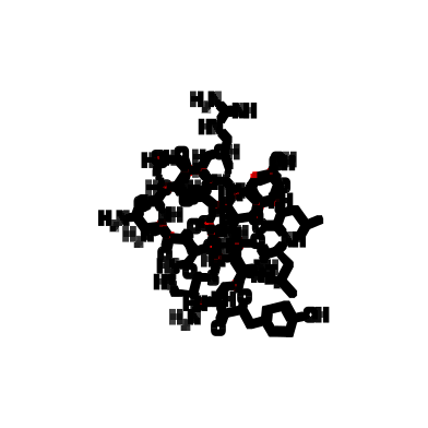 CC(C)CC(N)COC(Cc1ccc(O)cc1)C(=O)NN[C@@H](CS)C(=O)SSN[C@@H](CS)C(=O)C(=O)C(CC(N)=O)NC(=O)[C@H](CO)NC(=O)C(CO)NC(=O)[C@H](CC(=O)O)NN[C@@H](CC(=O)O)C(=O)NC(CC(C)C)C(=O)N[C@@H](CC(C)C)C(=O)NC(CCCCN)C(=O)N[C@@H](CCCCN)C(=O)NC(Cc1ccc(O)cc1)C(=O)N[C@@H](CCCNC(=N)N)C(=O)NC(CO)C(=O)O